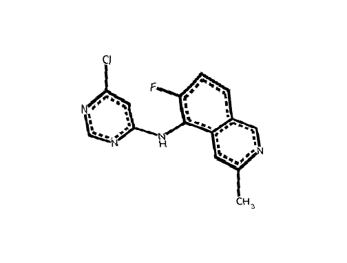 Cc1cc2c(Nc3cc(Cl)ncn3)c(F)ccc2cn1